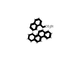 CCOC(=O)Cc1cccc2ccccc12.c1ccc2c(c1)ccc1c3c(ccc12)CCCC3